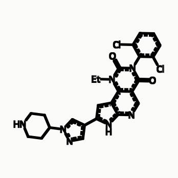 CCn1c(=O)n(-c2c(Cl)cccc2Cl)c(=O)c2cnc3[nH]c(-c4cnn(C5CCNCC5)c4)cc3c21